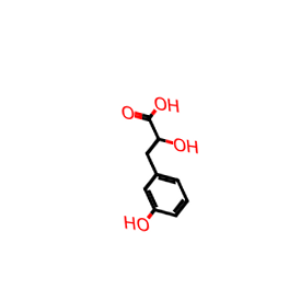 O=C(O)C(O)Cc1cccc(O)c1